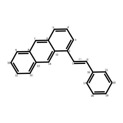 C(=C\c1cccc2cc3ccccc3cc12)/c1ccccc1